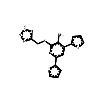 Nc1c(-c2ccco2)cc(-c2cccs2)nc1SCc1nn[nH]n1